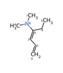 C=C/C=C(\CC)N(C)C